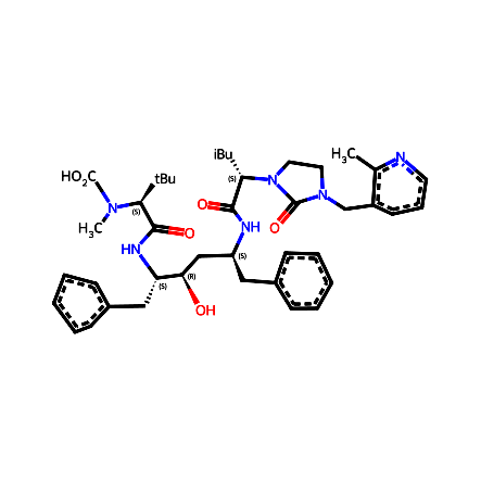 CCC(C)[C@@H](C(=O)N[C@@H](Cc1ccccc1)C[C@@H](O)[C@H](Cc1ccccc1)NC(=O)[C@@H](N(C)C(=O)O)C(C)(C)C)N1CCN(Cc2cccnc2C)C1=O